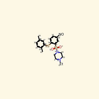 CCN1CCN(S(=O)(=O)c2cc(N=O)ccc2Sc2cc(C)ccc2C)CC1